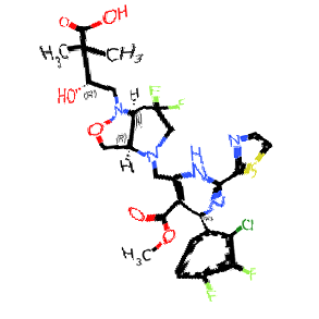 COC(=O)C1=C(CN2CC(F)(F)[C@H]3[C@@H]2CON3C[C@H](O)C(C)(C)C(=O)O)NC(c2nccs2)=N[C@H]1c1ccc(F)c(F)c1Cl